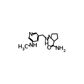 CNc1cncc(CNN2CCCC2C(N)=O)c1